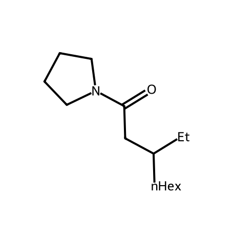 CCCCCCC(CC)CC(=O)N1CCCC1